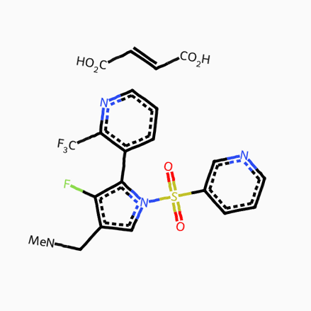 CNCc1cn(S(=O)(=O)c2cccnc2)c(-c2cccnc2C(F)(F)F)c1F.O=C(O)C=CC(=O)O